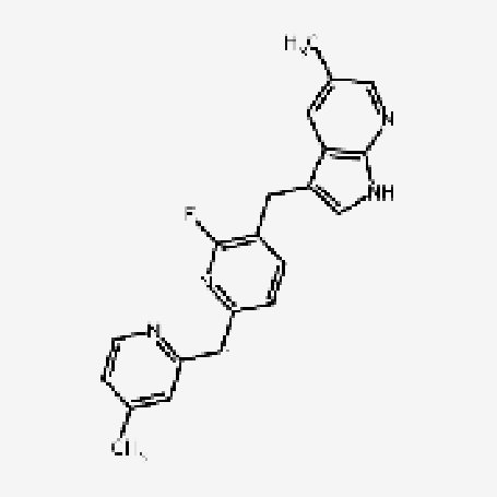 Cc1ccnc([CH]c2ccc(Cc3c[nH]c4ncc(C)cc34)c(F)n2)c1